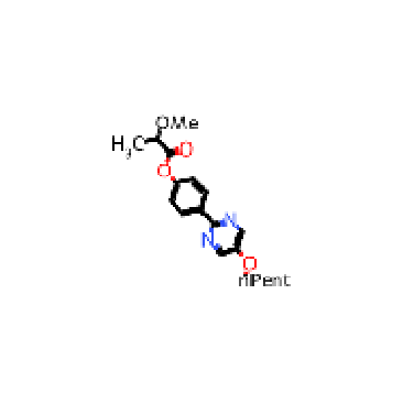 CCCCCOc1cnc(-c2ccc(OC(=O)C(C)OC)cc2)nc1